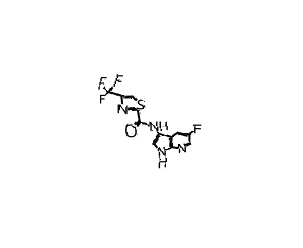 O=C(Nc1c[nH]c2ncc(F)cc12)c1nc(C(F)(F)F)cs1